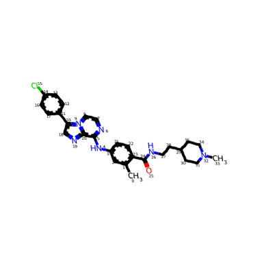 Cc1cc(Nc2nccn3c(-c4ccc(Cl)cc4)cnc23)ccc1C(=O)NCCC1CCN(C)CC1